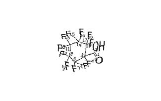 O=C(O)C1(F)C(F)(F)C(F)(F)C(F)(F)C(F)(F)C1(F)F